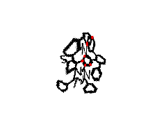 c1ccc(-c2nc(-c3ccccc3)nc(-c3cc(-c4c(-c5ccccc5)cccc4-c4ccccc4)ccc3-c3cccc4sc5ccc6c7ccccc7n(-c7ccccc7)c6c5c34)n2)cc1